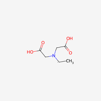 C[CH]N(CC(=O)O)CC(=O)O